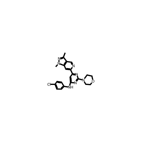 Cc1nn(C)c2cc(-c3cc(Nc4ccc(Cl)cc4)nc(N4CCOCC4)n3)ncc12